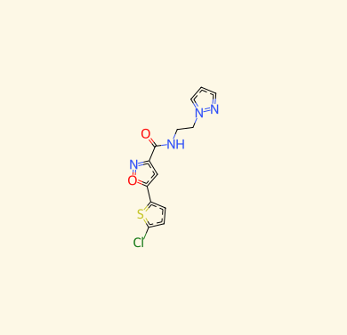 O=C(NCCn1cccn1)c1cc(-c2ccc(Cl)s2)on1